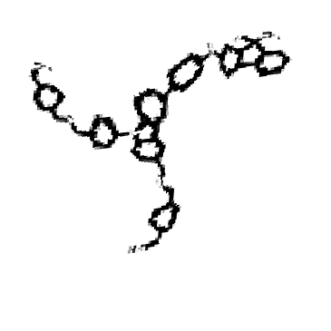 C=Cc1ccc(COCc2ccc(-n3c4ccc(COCc5ccc(C=C)cc5)cc4c4cc(-c5ccc(Nc6ccc7c(c6)C(C)(C)c6ccccc6-7)cc5)ccc43)cc2)cc1